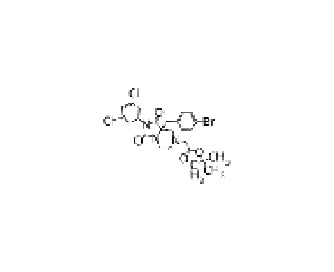 CC(C)(C)OC(=O)CN1CCN2C(=O)N(c3cc(Cl)cc(Cl)c3)C(=O)C2(Cc2ccc(Br)cc2)C1